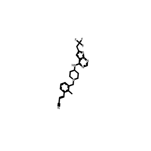 Cc1c(/C=C/C#N)cccc1CN1CCC(Nc2ncnc3sc(CC(F)(F)F)cc23)CC1